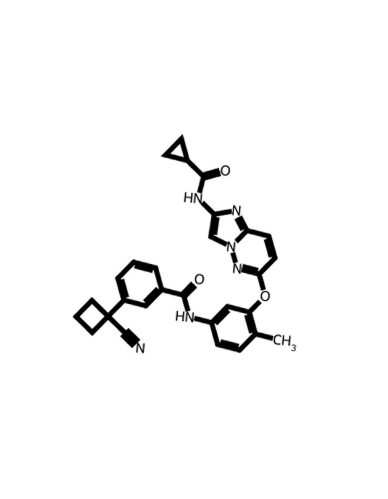 Cc1ccc(NC(=O)c2cccc(C3(C#N)CCC3)c2)cc1Oc1ccc2nc(NC(=O)C3CC3)cn2n1